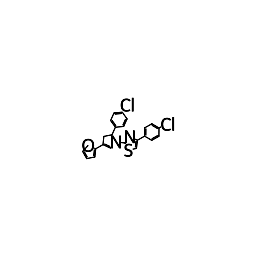 Clc1ccc(-c2csc(N3C=C(c4ccco4)CC3c3ccc(Cl)cc3)n2)cc1